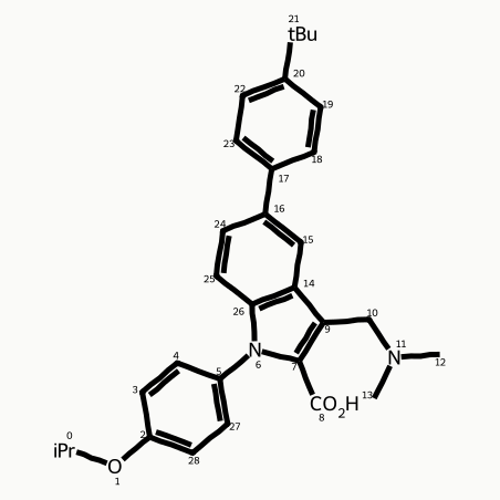 CC(C)Oc1ccc(-n2c(C(=O)O)c(CN(C)C)c3cc(-c4ccc(C(C)(C)C)cc4)ccc32)cc1